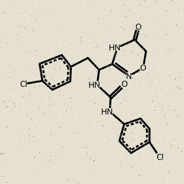 O=C1CON=C(C(Cc2ccc(Cl)cc2)NC(=O)Nc2ccc(Cl)cc2)N1